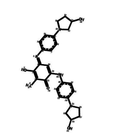 CC1=C(O)C(=Nc2ccc(N3CCC(O)C3)cc2)C=C(Nc2ccc(N3CCC(O)C3)cc2)C1=O